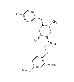 COc1cc(CC(C)=O)ccc1OCC(=O)N1C[C@@H](C)N(Cc2ccc(F)cc2)C[C@@H]1C